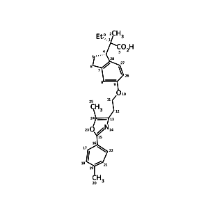 CC[C@](C)(C(=O)O)[C@H]1CCc2cc(OCCc3nc(-c4ccc(C)cc4)oc3C)ccc21